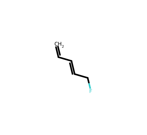 C=C/C=C/CF